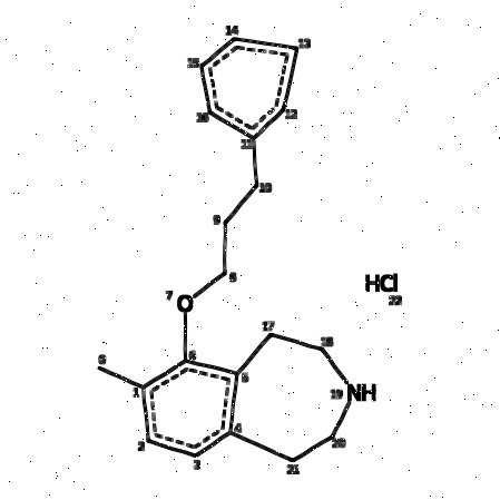 Cc1ccc2c(c1OCCCc1ccccc1)CCNCC2.Cl